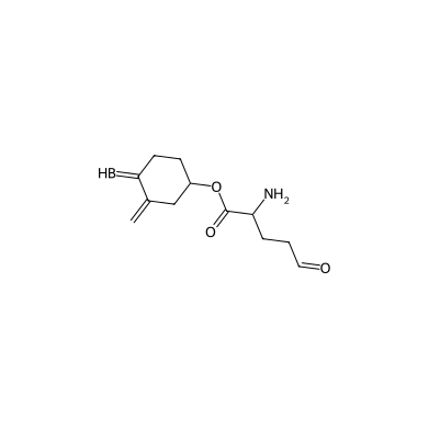 B=C1CCC(OC(=O)C(N)CCC=O)CC1=C